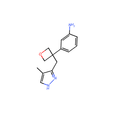 Cc1c[nH]nc1CC1(c2cccc(N)c2)COC1